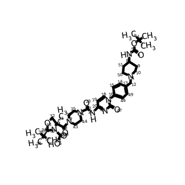 CC(C)(C)OC(=O)NC1CCN(Cc2ccc(-n3ccc(NC(=O)N4CCN(C(=O)[C@]5(C)CO[C@H](C(C)(C)C)N5C(=O)O)CC4)nc3=O)cc2)CC1